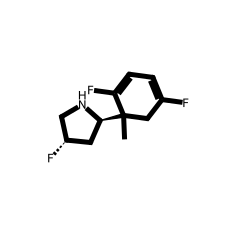 CC1([C@H]2C[C@H](F)CN2)CC(F)=CC=C1F